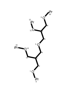 CC(C)OCC(COCC(COC(C)C)OC(C)C)COC(C)C